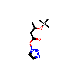 CC(CC(=O)On1ccnn1)O[Si](C)(C)C